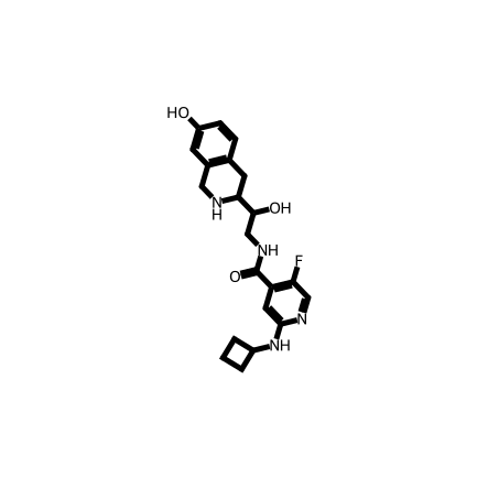 O=C(NCC(O)C1Cc2ccc(O)cc2CN1)c1cc(NC2CCC2)ncc1F